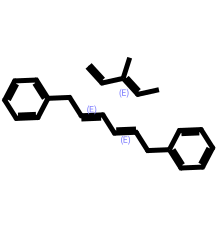 C(/C=C/Cc1ccccc1)=C\Cc1ccccc1.C=C/C(C)=C/C